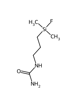 C[Si](C)(F)CCCNC(N)=O